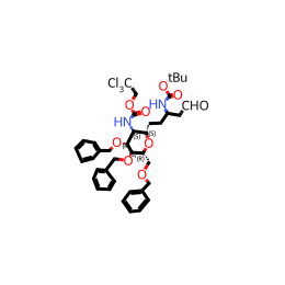 CC(C)(C)OC(=O)NC(CC=O)CC[C@@H]1O[C@H](COCc2ccccc2)[C@@H](OCc2ccccc2)[C@H](OCc2ccccc2)[C@H]1NC(=O)OCC(Cl)(Cl)Cl